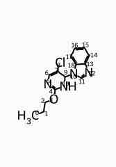 CCCOC1=NC=C(Cl)C(n2cnc3ccccc32)N1